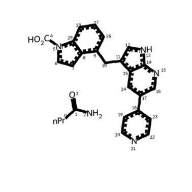 CCCC(N)=O.O=C(O)n1ccc2c(Cc3c[nH]c4ncc(-c5ccncc5)cc34)cccc21